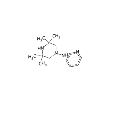 CC1(C)CN(N)CC(C)(C)N1.c1ccncc1